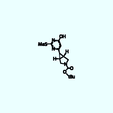 CSc1nc(O)cc([C@H]2[C@@H]3CN(C(=O)OC(C)(C)C)C[C@@H]32)n1